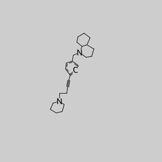 C(#Cc1ccc(CN2CCCC3CCCCC32)cc1)CCN1CCCCC1